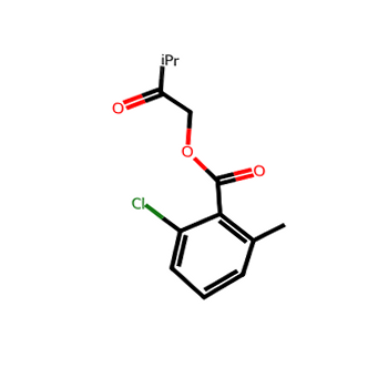 Cc1cccc(Cl)c1C(=O)OCC(=O)C(C)C